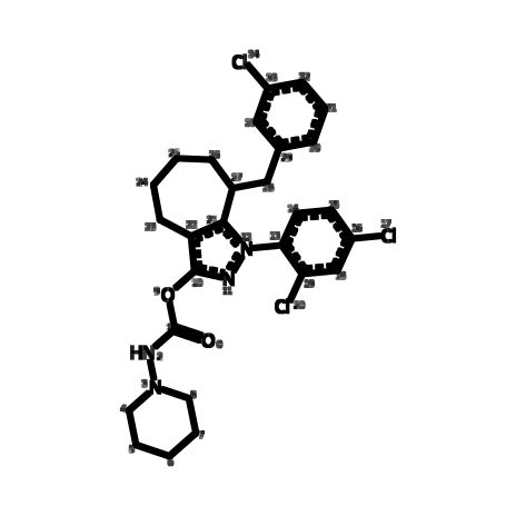 O=C(NN1CCCCC1)Oc1nn(-c2ccc(Cl)cc2Cl)c2c1CCCCC2Cc1cccc(Cl)c1